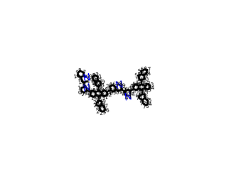 c1cc(-c2cnc3ccccc3c2)nc(-c2ccc3c(-c4ccc5ccccc5c4)c4ccc(-c5ccc6ncc(-c7cncc(-c8ccc9c(-c%10ccc%11ccccc%11c%10)c%10ccccc%10c(-c%10ccc%11ccccc%11c%10)c9c8)c7)cc6c5)cc4c(-c4ccc5ccccc5c4)c3c2)c1